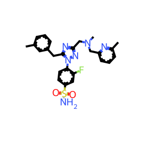 Cc1cccc(Cc2nc(CN(C)Cc3cccc(C)n3)nn2-c2ccc(S(N)(=O)=O)cc2F)c1